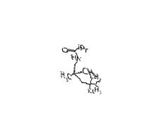 CCC(C)(C)CC(C)(C)CNC(=O)C(C)C